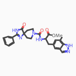 COC(=O)C(Cc1cc(C)c2[nH]ncc2c1)NC(=O)N1CCC2(CC1)N=C(c1ccccc1)NC2=O